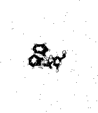 CC(C)(C)[Si](Oc1cc(C=O)oc(=O)c1)(c1ccccc1)c1ccccc1